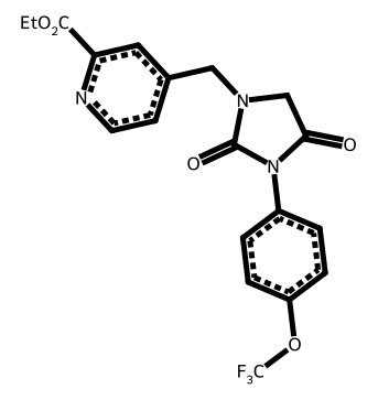 CCOC(=O)c1cc(CN2CC(=O)N(c3ccc(OC(F)(F)F)cc3)C2=O)ccn1